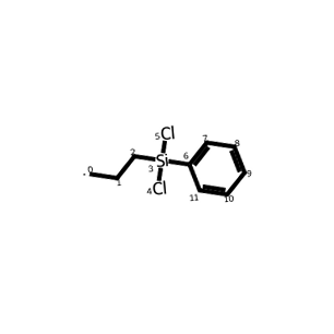 [CH2]CC[Si](Cl)(Cl)c1ccccc1